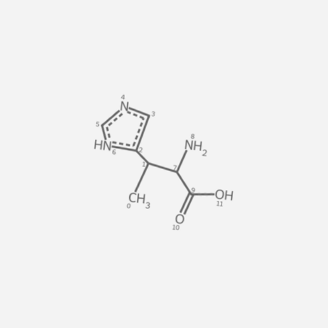 CC(c1cnc[nH]1)C(N)C(=O)O